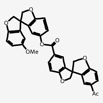 COc1ccc2c(c1)C1(CO2)COc2ccc(OC(=O)c3ccc4c(c3)C3(COc5ccc(C(C)=O)cc53)CO4)cc21